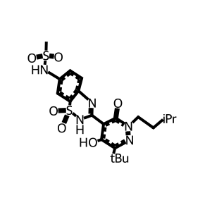 CC(C)CCn1nc(C(C)(C)C)c(O)c(C2=Nc3ccc(NS(C)(=O)=O)cc3S(=O)(=O)N2)c1=O